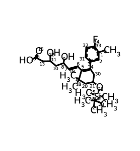 Cc1cc(C2=C(C=CC(O)CC(O)CC(=O)O)C(C)(C)CC(O[Si](C)(C)C(C)(C)C)C2)ccc1F